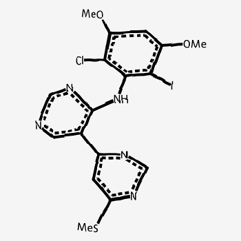 COc1cc(OC)c(I)c(Nc2ncncc2-c2cc(SC)ncn2)c1Cl